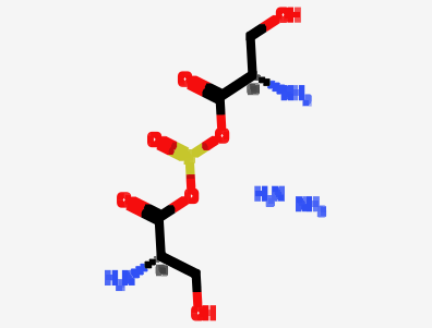 N.N.N[C@@H](CO)C(=O)OS(=O)OC(=O)[C@@H](N)CO